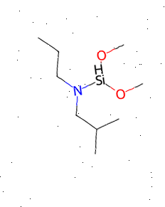 CCCN(CC(C)C)[SiH](OC)OC